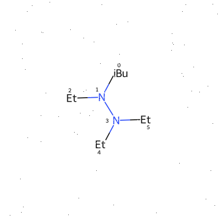 [CH2]CC(C)N(CC)N(CC)CC